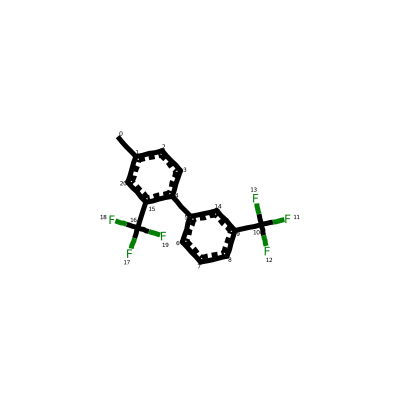 Cc1ccc(-c2cccc(C(F)(F)F)c2)c(C(F)(F)F)c1